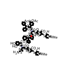 CN[n+]1ccc(SCC2=C(C(=O)O)N3C(=O)C(NC(=O)/C(=N\O[C@H](C(=O)OC(c4ccccc4)c4ccccc4)c4ccc(OC(C)=O)c(OC(C)=O)c4)c4csc(NC(c5ccccc5)(c5ccccc5)c5ccccc5)n4)[C@@H]3SC2)cc1.CN[n+]1ccc(SCC2=C(C(=O)O)N3C(=O)[C@@H](NC(=O)/C(=N\O[C@H](C(=O)O)c4ccc(O)c(O)c4)c4csc(N)n4)[C@@H]3SC2)cc1